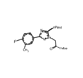 CCCCCc1nc(-c2ccc(F)c(C)c2)nn1CC(=O)OC